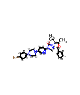 CC[C@@H]([C@H](C)OCc1ccccc1)n1ncn(-c2ccc(N3CCN(c4ccc(Br)cc4)CC3)cn2)c1=O